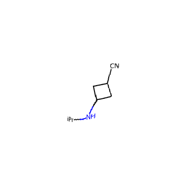 CC(C)NC1CC(C#N)C1